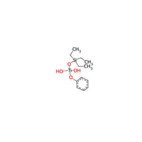 CC[Si](CC)(CC)[O][Ti]([OH])([OH])[O]c1ccccc1